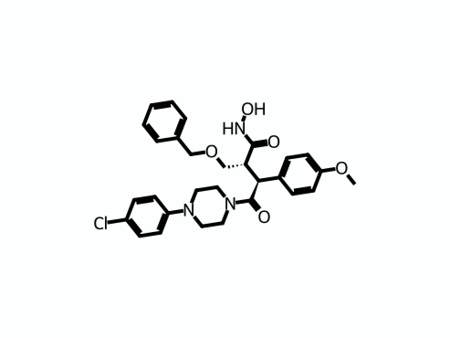 COc1ccc([C@@H](C(=O)N2CCN(c3ccc(Cl)cc3)CC2)[C@H](COCc2ccccc2)C(=O)NO)cc1